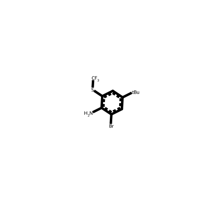 CC(C)(C)c1cc(Br)c(N)c(SC(F)(F)F)c1